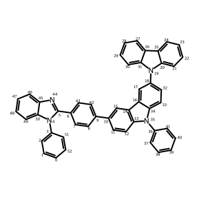 c1ccc(-n2c(-c3ccc(-c4ccc5c(c4)c4cc(-n6c7ccccc7c7ccccc76)ccc4n5-c4ccccc4)cc3)nc3ccccc32)cc1